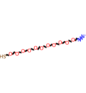 [N-]=[N+]=NCCOCCOCCOCCOCCOCCOCCOCCOCCOCCOCCOCCS